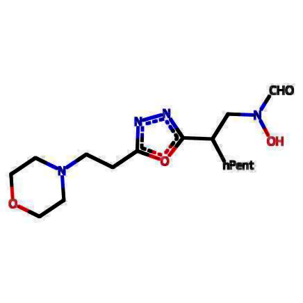 CCCCCC(CN(O)C=O)c1nnc(CCN2CCOCC2)o1